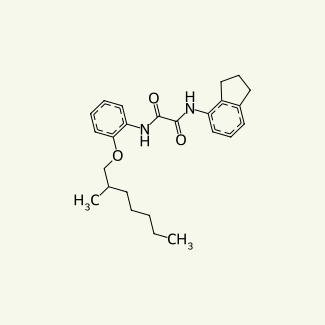 CCCCCC(C)COc1ccccc1NC(=O)C(=O)Nc1cccc2c1CCC2